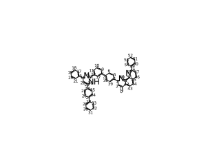 Cc1cc(-c2ccc(-c3cccc(C4N=C(c5ccccc5)C=C(c5ccc(-c6ccccc6)cc5)N4)c3)cc2)nc2c1ccc1ccc(-c3ccccc3)nc12